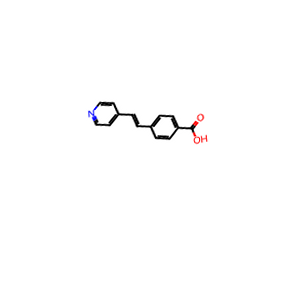 O=C(O)c1ccc(/C=C/c2ccncc2)cc1